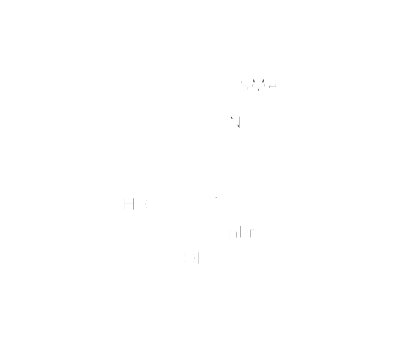 CCCC1(C(C)O)CCN(SC)CC1